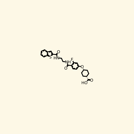 O=C(NCCNC(=O)c1ccc(O[C@H]2CC[C@@H](C(=O)O)CC2)cc1F)c1cc2ccccc2s1